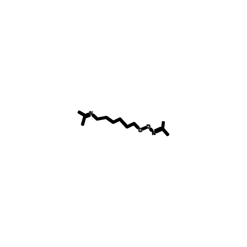 CC(C)=NCCCCCCOON=C(C)C